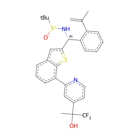 C=C(C)c1ccccc1[C@@H](N[S+]([O-])C(C)(C)C)c1cc2cccc(-c3cc(C(C)(O)C(F)(F)F)ccn3)c2s1